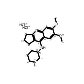 COc1cc2nc3c(c(N[C@@H]4CCCNC4)c2cc1OC)CCC3.Cl.Cl